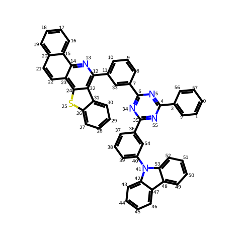 c1ccc(-c2nc(-c3cccc(-c4nc5c6ccccc6ccc5c5sc6ccccc6c45)c3)nc(-c3cccc(-n4c5ccccc5c5ccccc54)c3)n2)cc1